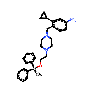 CC(C)(C)[Si](OCCN1CCN(Cc2ccc(N)cc2C2CC2)CC1)(c1ccccc1)c1ccccc1